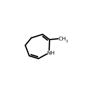 CC1=CCCC=CN1